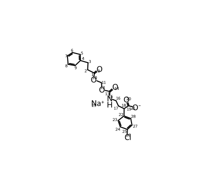 O=C(CCc1ccccc1)OCOC(=O)NCCC(C(=O)[O-])c1ccc(Cl)cc1.[Na+]